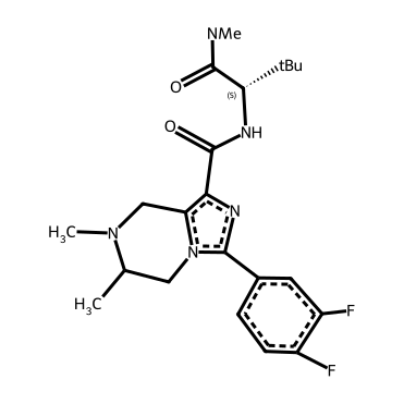 CNC(=O)[C@@H](NC(=O)c1nc(-c2ccc(F)c(F)c2)n2c1CN(C)C(C)C2)C(C)(C)C